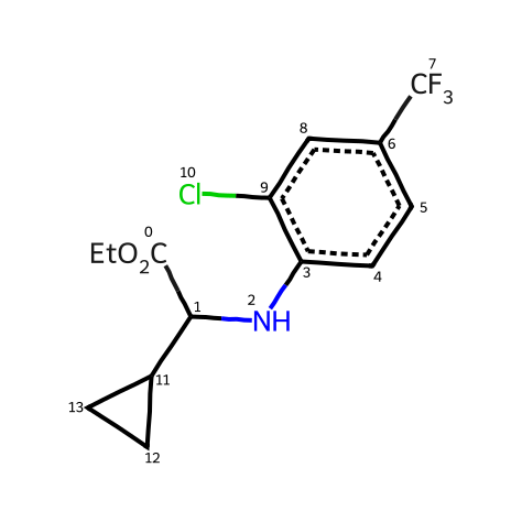 CCOC(=O)C(Nc1ccc(C(F)(F)F)cc1Cl)C1CC1